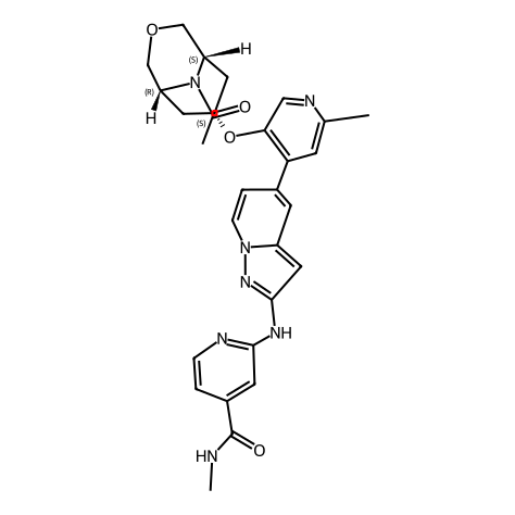 CNC(=O)c1ccnc(Nc2cc3cc(-c4cc(C)ncc4O[C@H]4C[C@H]5COC[C@@H](C4)N5C(C)=O)ccn3n2)c1